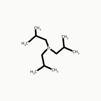 CC(C)[CH2][Zr]([CH2]C(C)C)[CH2]C(C)C